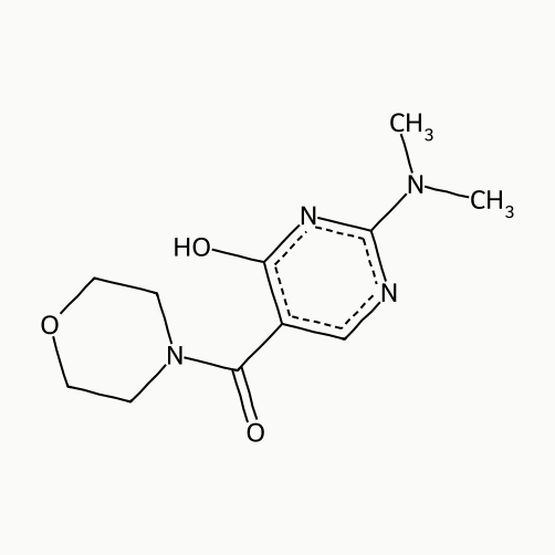 CN(C)c1ncc(C(=O)N2CCOCC2)c(O)n1